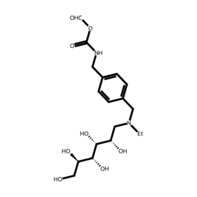 CCN(Cc1ccc(CNC(=O)OC=O)cc1)C[C@H](O)[C@@H](O)[C@H](O)[C@H](O)CO